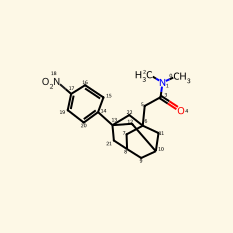 CN(C)C(=O)CC12CC3CC(C1)CC(c1ccc([N+](=O)[O-])cc1)(C3)C2